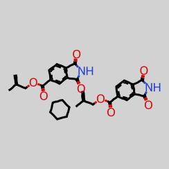 C1CCCCC1.C=C(C)COC(=O)c1ccc2c(c1)C(=O)NC2=O.C=C(C)COC(=O)c1ccc2c(c1)C(=O)NC2=O